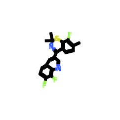 Cc1ccc2c(c1F)SC(C)(C)N=C2c1cnc2c(F)c(F)ccc2c1